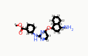 COC(=O)c1cccc(Nc2nccc(Oc3ccc(N)c4ccccc34)n2)c1